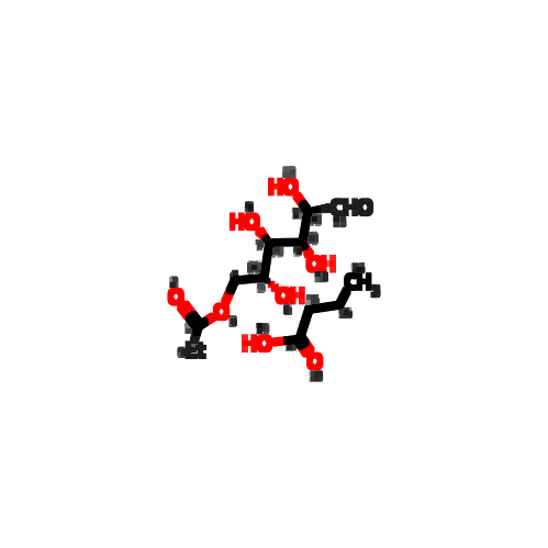 CCC(=O)OC[C@@H](O)[C@@H](O)[C@H](O)[C@@H](O)C=O.CCCC(=O)O